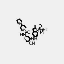 CCN(CC)C(=O)n1c(C)cc2cc(Nc3cc(NC(=O)N4CCC(N5CCCC5)CC4)ncc3C#N)ccc21